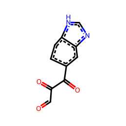 O=CC(=O)C(=O)c1ccc2[nH]cnc2c1